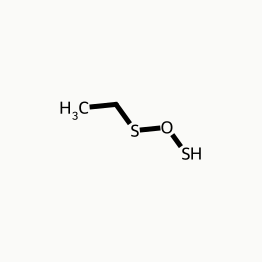 CCSOS